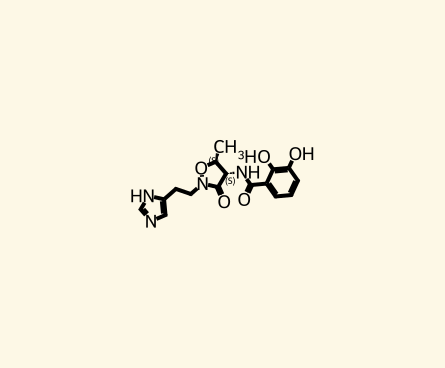 C[C@@H]1ON(CCc2cnc[nH]2)C(=O)[C@H]1NC(=O)c1cccc(O)c1O